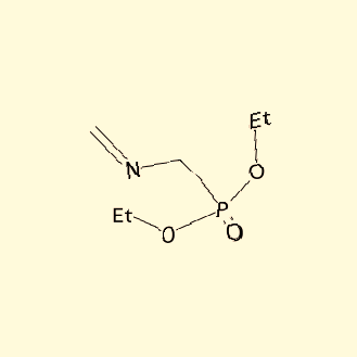 C=NCP(=O)(OCC)OCC